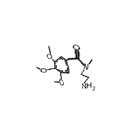 COc1cc(C(=O)N(C)CCN)cc(OC)c1OC